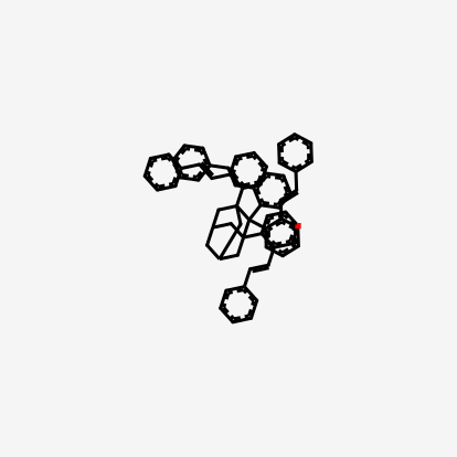 C(=Cc1ccccc1C12CC3CC(C1)CC(c1ccccc1C=Cc1ccccc1)(C3)C2(c1ccccc1C=Cc1ccccc1)c1ccccc1C=Cc1ccccc1)c1ccccc1